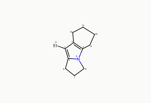 CCc1c2c(n3c1CCC3)CCCC2